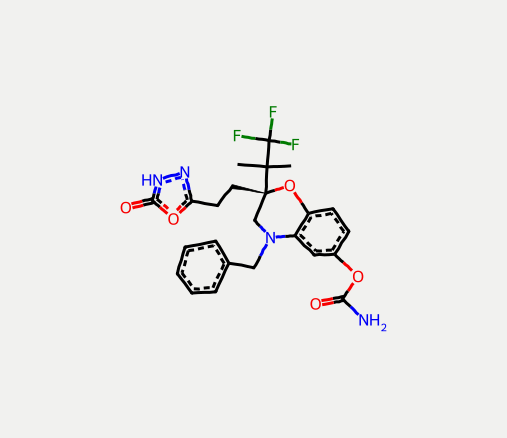 CC(C)(C(F)(F)F)[C@@]1(CCc2n[nH]c(=O)o2)CN(Cc2ccccc2)c2cc(OC(N)=O)ccc2O1